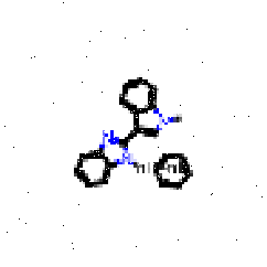 CCCCCn1c(-c2cn(C)c3ccccc23)nc2ccccc21.c1ccccc1